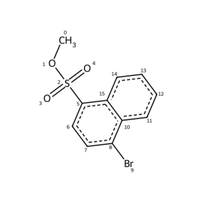 COS(=O)(=O)c1ccc(Br)c2ccccc12